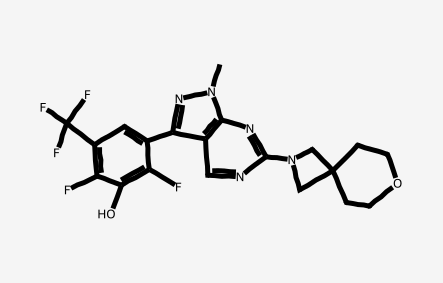 Cn1nc(-c2cc(C(F)(F)F)c(F)c(O)c2F)c2cnc(N3CC4(CCOCC4)C3)nc21